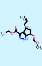 C=CC[C@H]1CC(OCOC)c2[nH]nc(C(=O)OCC)c21